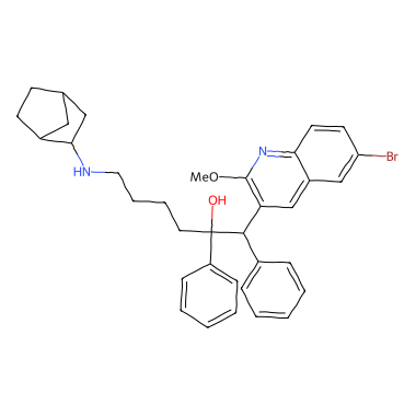 COc1nc2ccc(Br)cc2cc1C(c1ccccc1)C(O)(CCCCNC1CC2CCC1C2)c1ccccc1